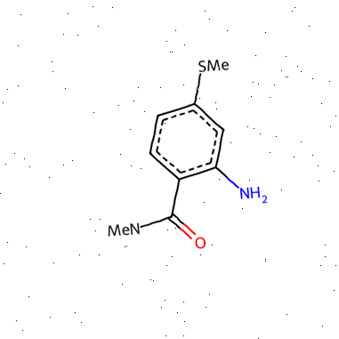 CNC(=O)c1ccc(SC)cc1N